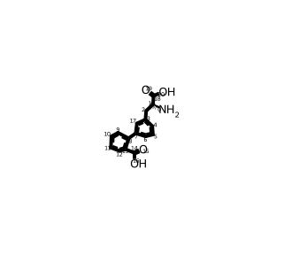 N[C@@H](Cc1cccc(-c2ccccc2C(=O)O)c1)C(=O)O